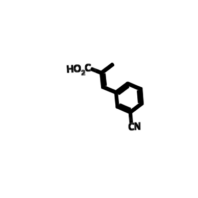 CC(=Cc1cccc(C#N)c1)C(=O)O